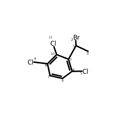 CC(Br)c1c(Cl)ccc(Cl)c1Cl